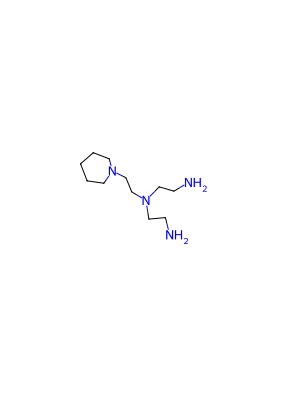 NCCN(CCN)CCN1CCCCC1